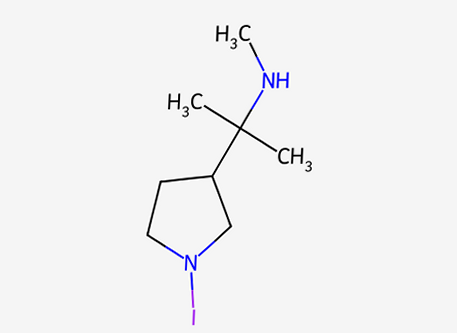 CNC(C)(C)C1CCN(I)C1